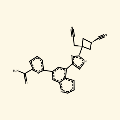 N#CC[C@]1(n2ncc(-c3cc(-c4cccc(C(N)=O)n4)cc4ncccc34)n2)C[C@H](C#N)C1